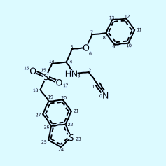 N#CCNC(COCc1ccccc1)CS(=O)(=O)Cc1ccc2sccc2c1